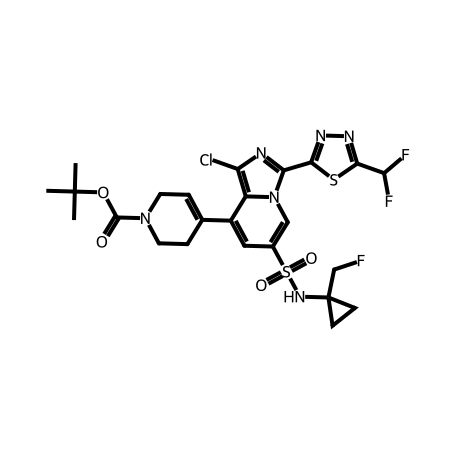 CC(C)(C)OC(=O)N1CC=C(c2cc(S(=O)(=O)NC3(CF)CC3)cn3c(-c4nnc(C(F)F)s4)nc(Cl)c23)CC1